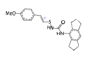 COc1ccc(/C=C/SNC(=O)Nc2c3c(cc4c2CCC4)CCC3)cc1